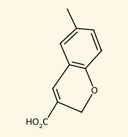 Cc1ccc2c(c1)C=C(C(=O)O)CO2